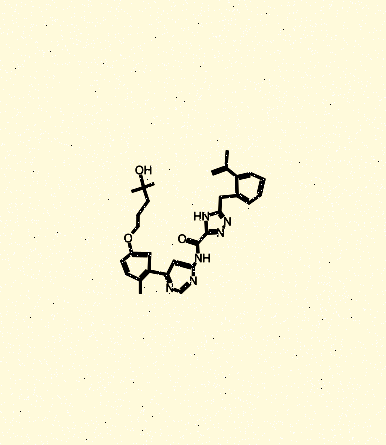 C=C(C)c1ccccc1Cc1nnc(C(=O)Nc2cc(-c3cc(OCCCC(C)(C)O)ccc3C)ncn2)[nH]1